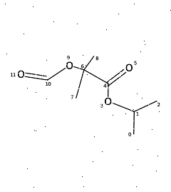 CC(C)OC(=O)C(C)(C)OC=O